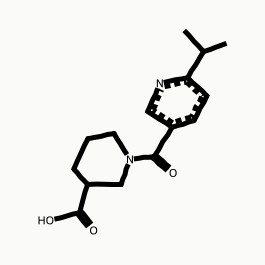 CC(C)c1ccc(C(=O)N2CCCC(C(=O)O)C2)cn1